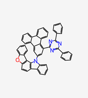 c1ccc(-c2nc(-c3ccccc3)nc(-c3cc(-n4c5ccccc5c5ccc6oc7ccccc7c6c54)cc4c5ccccc5c5ccccc5c34)n2)cc1